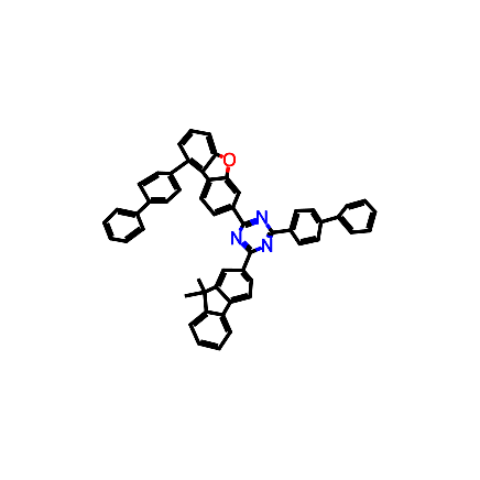 CC1(C)c2ccccc2-c2ccc(-c3nc(-c4ccc(-c5ccccc5)cc4)nc(-c4ccc5c(c4)oc4cccc(-c6ccc(-c7ccccc7)cc6)c45)n3)cc21